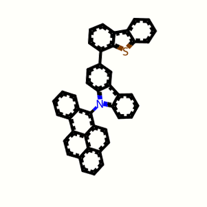 c1cc2ccc3c(-n4c5ccccc5c5cc(-c6cccc7c6sc6ccccc67)ccc54)c4ccccc4c4ccc(c1)c2c34